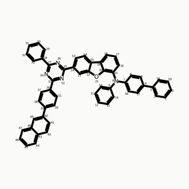 c1ccc(-c2ccc(N(c3ccccc3)c3cccc4c3oc3cc(-c5nc(-c6ccccc6)nc(-c6ccc(-c7ccc8ccccc8c7)cc6)n5)ccc34)cc2)cc1